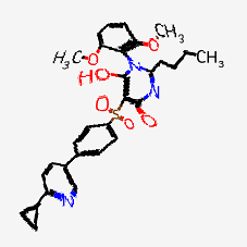 CCCCc1nc(=O)c(S(=O)(=O)c2ccc(-c3ccc(C4CC4)nc3)cc2)c(O)n1-c1c(OC)cccc1OC